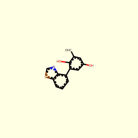 O=Cc1cc(O)cc(-c2cccc3scnc23)c1O